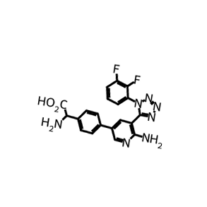 Nc1ncc(-c2ccc(C(N)C(=O)O)cc2)cc1-c1nnnn1-c1cccc(F)c1F